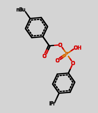 CCCCc1ccc(C(=O)OP(=O)(O)Oc2ccc(C(C)C)cc2)cc1